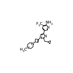 CN1CCN(C2C=C(n3cc(-c4cnc(N)c(C(F)(F)F)c4)nc3CC3CC3)C2)CC1